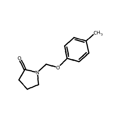 Cc1ccc(OCN2CCCC2=O)cc1